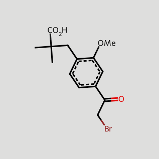 COc1cc(C(=O)CBr)ccc1CC(C)(C)C(=O)O